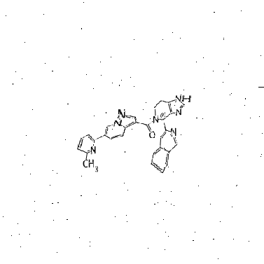 Cc1cccc(-c2ccc3c(C(=O)N4CCc5[nH]cnc5[C@H]4c4cc5ccccc5cn4)cnn3c2)n1